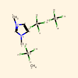 C.CCn1cc[n+](C)c1.F[B-](F)(F)F.F[B-](F)(F)F.F[B-](F)(F)F